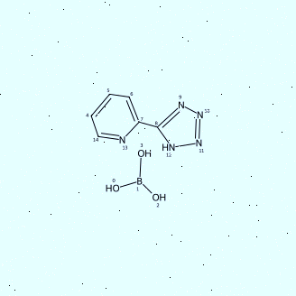 OB(O)O.c1ccc(-c2nnn[nH]2)nc1